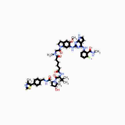 CNC(=O)c1c(F)cccc1Nc1nc(Nc2cc3c(cc2OC)CCN3C(=O)CN(C)C(=O)CCCCC(=O)NC(C(=O)N2C[C@H](O)C[C@H]2C(=O)NCc2ccc(-c3scnc3C)cc2)C(C)(C)C)nc2[nH]ccc12